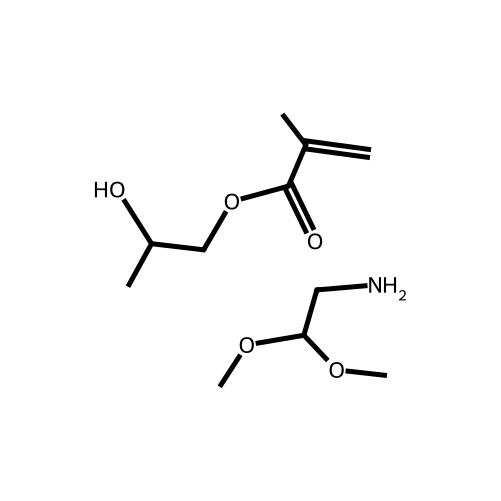 C=C(C)C(=O)OCC(C)O.COC(CN)OC